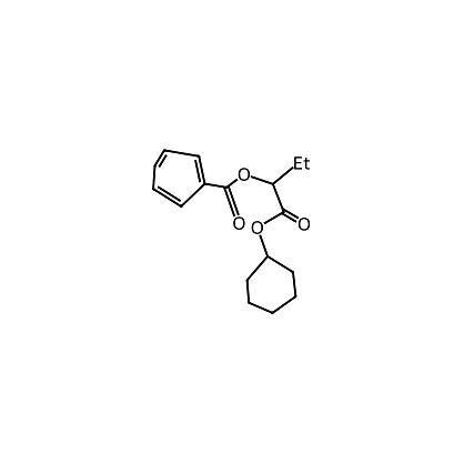 CCC(OC(=O)c1ccccc1)C(=O)OC1CCCCC1